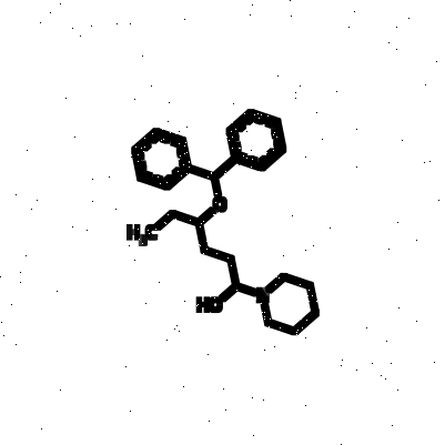 CCC(CCC(O)N1CCCCC1)OC(c1ccccc1)c1ccccc1